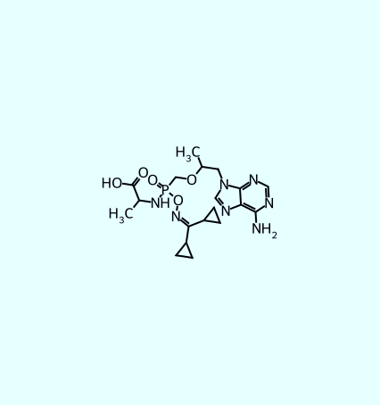 CC(Cn1cnc2c(N)ncnc21)OCP(=O)(NC(C)C(=O)O)ON=C(C1CC1)C1CC1